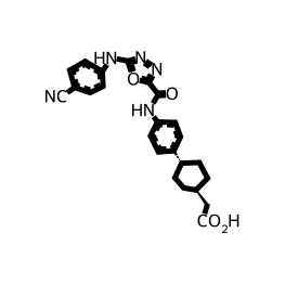 N#Cc1ccc(Nc2nnc(C(=O)Nc3ccc([C@H]4CC[C@H](CC(=O)O)CC4)cc3)o2)cc1